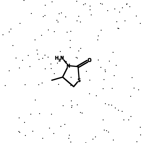 CC1CSC(=O)N1N